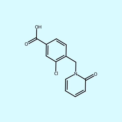 O=C(O)c1ccc(Cn2ccccc2=O)c(Cl)c1